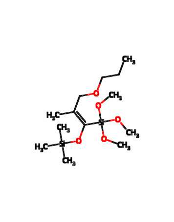 CCCOCC(C)=C(O[Si](C)(C)C)[Si](OC)(OC)OC